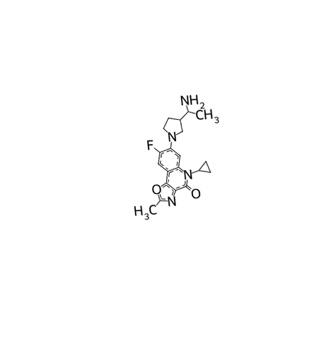 Cc1nc2c(=O)n(C3CC3)c3cc(N4CCC(C(C)N)C4)c(F)cc3c2o1